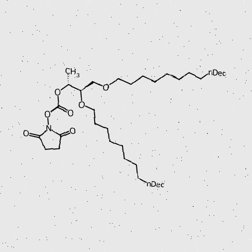 CCCCCCCCCCCCCCCCCCOC[C@@H](OCCCCCCCCCCCCCCCCCC)[C@@H](C)OC(=O)ON1C(=O)CCC1=O